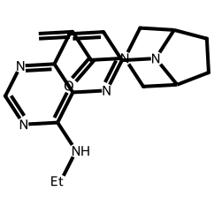 C=CC(=O)N1CC2CCC(C1)N2c1ccc2ncnc(NCC)c2n1